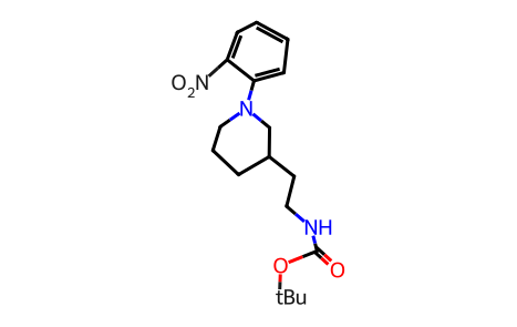 CC(C)(C)OC(=O)NCCC1CCCN(c2ccccc2[N+](=O)[O-])C1